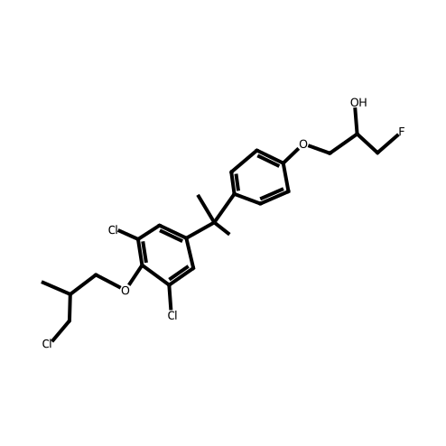 CC(CCl)COc1c(Cl)cc(C(C)(C)c2ccc(OCC(O)CF)cc2)cc1Cl